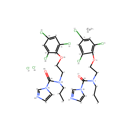 CCCN(CCOc1c(Cl)cc(Cl)cc1Cl)C(=O)n1ccnc1.CCCN(CCOc1c(Cl)cc(Cl)cc1Cl)C(=O)n1ccnc1.[Cl-].[Cl-].[Cu+2]